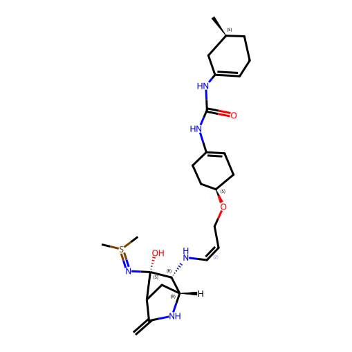 C=C1N[C@@H]2CC1[C@@](O)(N=S(C)C)[C@@H]2N/C=C\CO[C@@H]1CC=C(NC(=O)NC2=CCC[C@H](C)C2)CC1